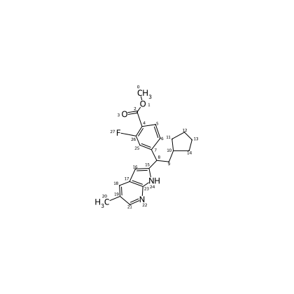 COC(=O)c1ccc(C(CC2CCCC2)c2cc3cc(C)cnc3[nH]2)cc1F